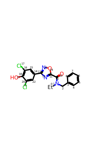 CCN(Cc1ccccc1)C(=O)c1nc(-c2cc(Cl)c(O)c(Cl)c2)no1